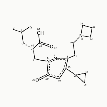 CC(C)C[C@@H](Cn1nc(CCN2CCC2)c(C2CC2)cc1=O)C(=O)O